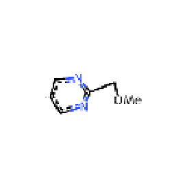 COCc1nc[c]cn1